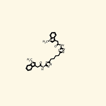 Cn1cc(CC(=O)Nc2nnc(CCCCc3nnc(NC(=O)Cc4cn(C)c5ccccc45)s3)s2)c2ccccc21